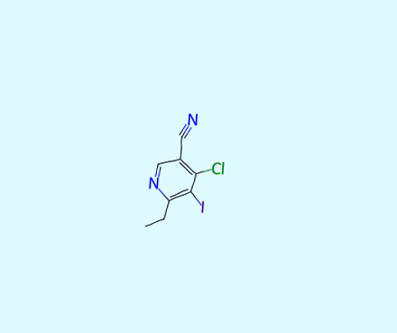 CCc1ncc(C#N)c(Cl)c1I